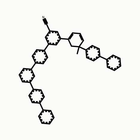 CC1(c2ccc(-c3ccccc3)cc2)C=CC=C(c2cc(C#N)cc(-c3ccc(-c4cccc(-c5ccc(-c6ccccc6)cc5)c4)cc3)c2)C1